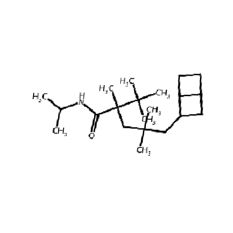 CC(C)NC(=O)C(C)(CC(C)(C)CC1CC2CCC21)C(C)(C)C